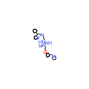 CN(CCCNC(=N)N(C#N)CCCOc1cccc(CN2CCCCC2)c1)CCC(c1ccccc1)c1ccccn1